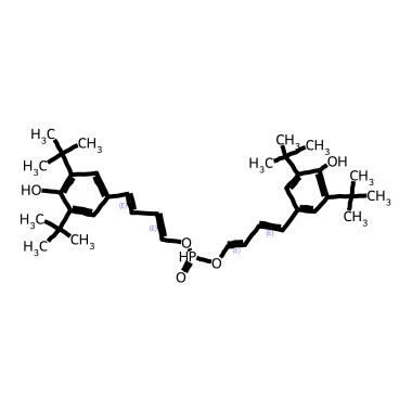 CC(C)(C)c1cc(/C=C/C=C/O[PH](=O)O/C=C/C=C/c2cc(C(C)(C)C)c(O)c(C(C)(C)C)c2)cc(C(C)(C)C)c1O